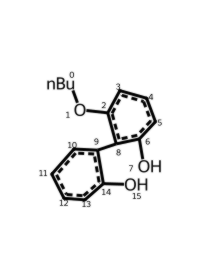 CCCCOc1cccc(O)c1-c1ccccc1O